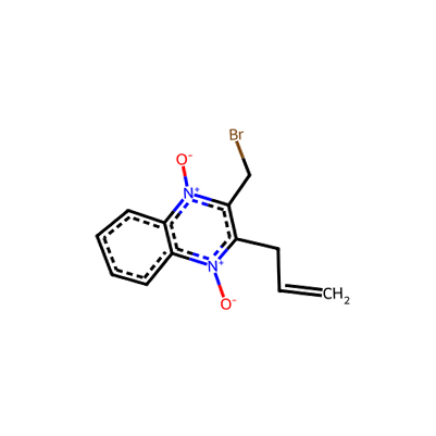 C=CCc1c(CBr)[n+]([O-])c2ccccc2[n+]1[O-]